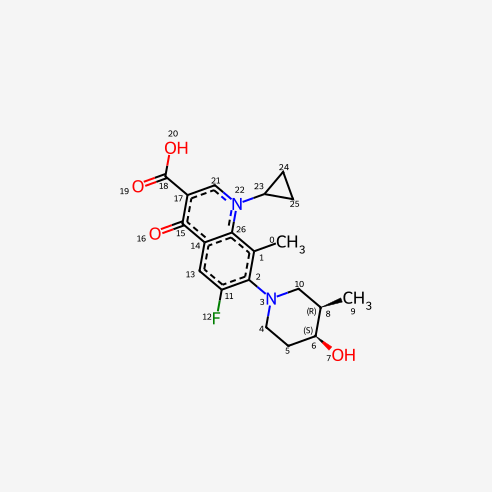 Cc1c(N2CC[C@H](O)[C@H](C)C2)c(F)cc2c(=O)c(C(=O)O)cn(C3CC3)c12